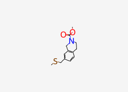 COC(=O)N1CCc2ccc(CSC)cc2C1